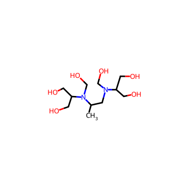 CC(CN(CO)C(CO)CO)N(CO)C(CO)CO